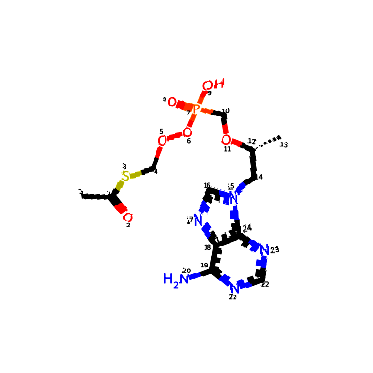 CC(=O)SCOOP(=O)(O)CO[C@H](C)Cn1cnc2c(N)ncnc21